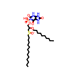 CCCCCCCCCCCCCC[S+]([O-])CC(COP(=O)(O)n1c(=O)[nH]c2[nH]c(=O)[nH]c2c1=O)OCCCCCCCCCC